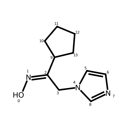 O/N=C(\Cn1ccnc1)C1CCCC1